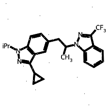 CC(C)n1nc(C2CC2)c2cc(CC(C)n3nc(C(F)(F)F)c4ccccc43)ccc21